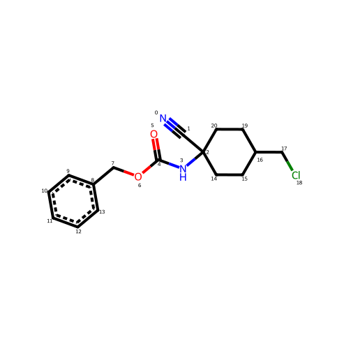 N#CC1(NC(=O)OCc2ccccc2)CCC(CCl)CC1